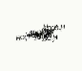 COc1cc(N=Nc2cc3c(S(=O)(=O)O)cc(S(=O)(=O)O)cc3cc2S(=O)(=O)O)c(NC(C)=O)cc1N=Nc1ccc(Nc2nc(Nc3cccc(S(=O)(=O)O)c3)nc(-[n+]3cccc(C(=O)O)c3)n2)c2c(S(=O)(=O)O)cccc12